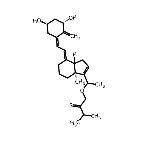 C=C1/C(=C\C=C2/CCC[C@]3(C)C(C(C)OCC(=S)C(C)C)=CC[C@@H]23)C[C@@H](O)C[C@@H]1O